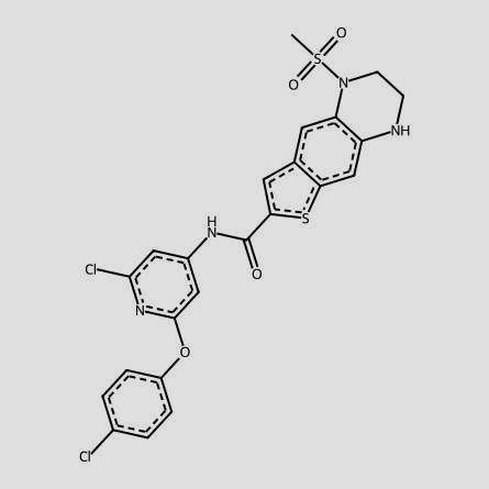 CS(=O)(=O)N1CCNc2cc3sc(C(=O)Nc4cc(Cl)nc(Oc5ccc(Cl)cc5)c4)cc3cc21